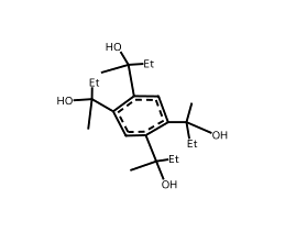 CCC(C)(O)c1cc(C(C)(O)CC)c(C(C)(O)CC)cc1C(C)(O)CC